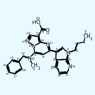 CCCCn1cc(-c2cc(N(C)Cc3ccccc3)n3ncc(C(=O)O)c3n2)c2cccnc21